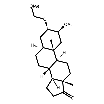 COCO[C@H]1C[C@@H]2CC[C@@H]3[C@H](CC[C@]4(C)C(=O)CC[C@@H]34)[C@@]2(C)C[C@@H]1OC(C)=O